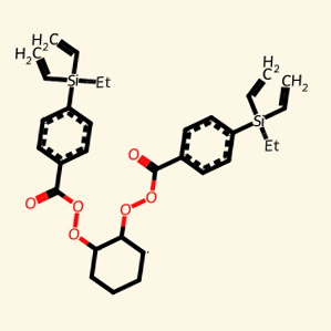 C=C[Si](C=C)(CC)c1ccc(C(=O)OO[C]2CCC[CH]C2OOC(=O)c2ccc([Si](C=C)(C=C)CC)cc2)cc1